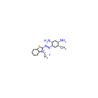 Cc1cc(N=Nc2sc3ccccc3[n+]2C)c(N)cc1N.[I-]